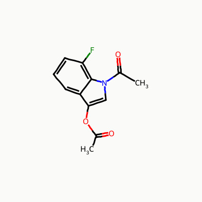 CC(=O)Oc1cn(C(C)=O)c2c(F)cccc12